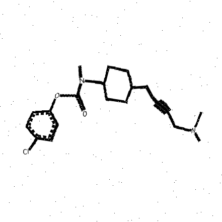 CN(C)CC#CCC1CCC(N(C)C(=O)Oc2ccc(Cl)cc2)CC1